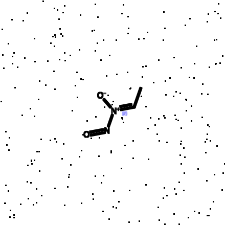 C/C=[N+](\[O-])N=O